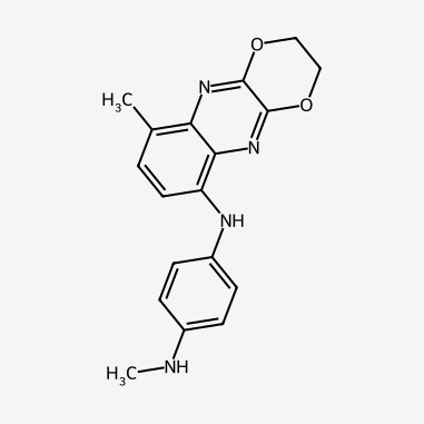 CNc1ccc(Nc2ccc(C)c3nc4c(nc23)OCCO4)cc1